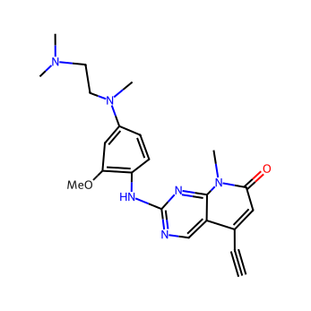 C#Cc1cc(=O)n(C)c2nc(Nc3ccc(N(C)CCN(C)C)cc3OC)ncc12